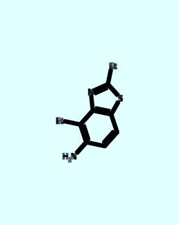 CCc1nc2c(CC)c(N)ccc2s1